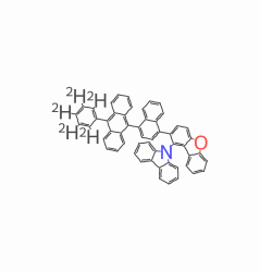 [2H]c1c([2H])c([2H])c(-c2c3ccccc3c(-c3ccc(-c4ccc5oc6ccccc6c5c4-n4c5ccccc5c5ccccc54)c4ccccc34)c3ccccc23)c([2H])c1[2H]